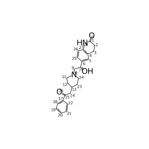 O=C1CCc2cc(C(O)CN3CCC(CC(=O)c4ccccc4)CC3)ccc2N1